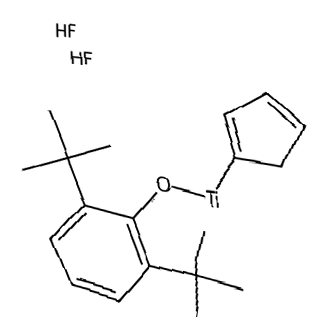 CC(C)(C)c1cccc(C(C)(C)C)c1[O][Ti][C]1=CC=CC1.F.F